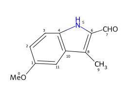 COc1ccc2[nH]c(C=O)c(C)c2c1